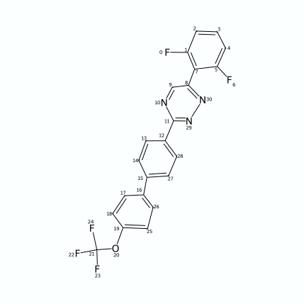 Fc1cccc(F)c1-c1cnc(-c2ccc(-c3ccc(OC(F)(F)F)cc3)cc2)nn1